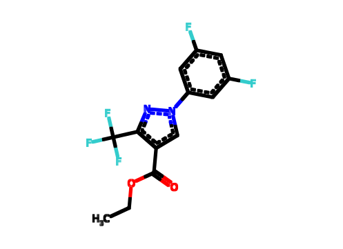 CCOC(=O)c1cn(-c2cc(F)cc(F)c2)nc1C(F)(F)F